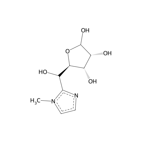 Cn1ccnc1C(O)[C@H]1OC(O)[C@H](O)[C@@H]1O